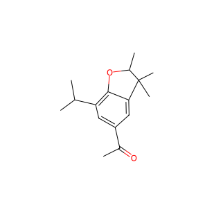 CC(=O)c1cc(C(C)C)c2c(c1)C(C)(C)C(C)O2